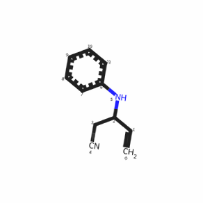 C=CC(CC#N)Nc1ccccc1